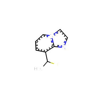 CC(S)c1cccn2ccnc12